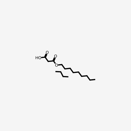 CCCC.CCCCCCCCCOC(=O)CC(=O)O